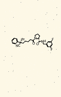 CC(C)[C@@](C#N)(CCCCC(=O)N1CCC[C@@H]1C(=O)NCc1cc(F)cc(F)c1)c1ccccc1